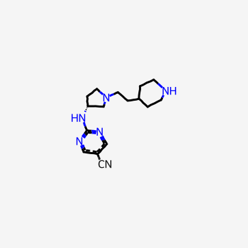 N#Cc1cnc(N[C@@H]2CCN(CCC3CCNCC3)C2)nc1